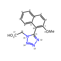 COc1ccc2ccccc2c1-c1nnnn1CC(=O)O